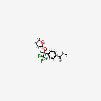 CCC(C)c1ccc(C(C)(OC2CCCO2)C(F)(F)F)cc1